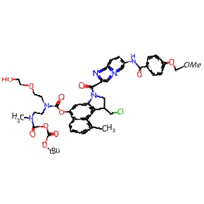 COCOc1ccc(C(=O)Nc2ccc3nc(C(=O)N4CC(CCl)c5c4cc(OC(=O)N(CCOCCO)CCN(C)C(=O)OC(=O)OC(C)(C)C)c4cccc(C)c54)cn3c2)cc1